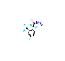 NC(=O)C(F)(F)c1ccc(F)cc1C(F)(F)F